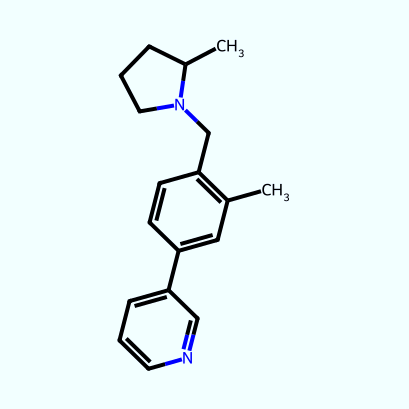 Cc1cc(-c2cccnc2)ccc1CN1CCCC1C